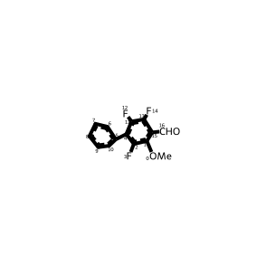 COc1c(F)c(-c2ccccc2)c(F)c(F)c1C=O